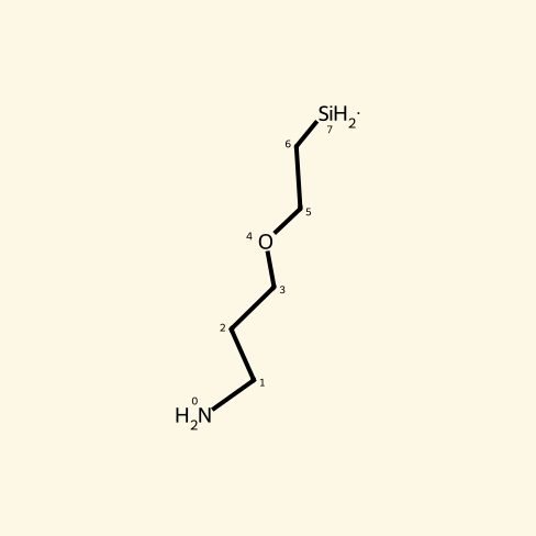 NCCCOCC[SiH2]